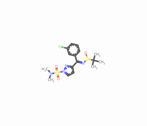 CN(C)S(=O)(=O)n1ccc(/C(=N/[S+]([O-])C(C)(C)C)c2cccc(Cl)c2)n1